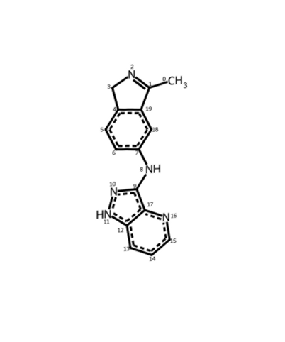 CC1=NCc2ccc(Nc3n[nH]c4cccnc34)cc21